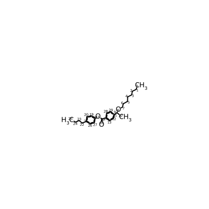 CCCCCCCCOC(C)c1ccc(C(=O)Oc2ccc(CCCC)cc2)cc1